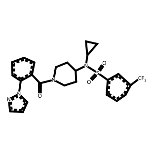 O=C(c1ccccc1-n1cccn1)N1CCC(N(C2CC2)S(=O)(=O)c2cccc(C(F)(F)F)c2)CC1